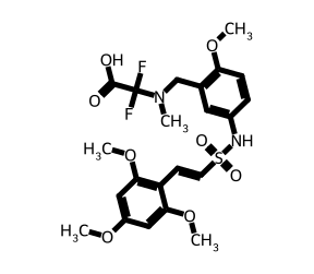 COc1cc(OC)c(C=CS(=O)(=O)Nc2ccc(OC)c(CN(C)C(F)(F)C(=O)O)c2)c(OC)c1